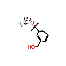 CC(C)(C)[SiH2]OC(C)(C)c1cccc(CO)c1